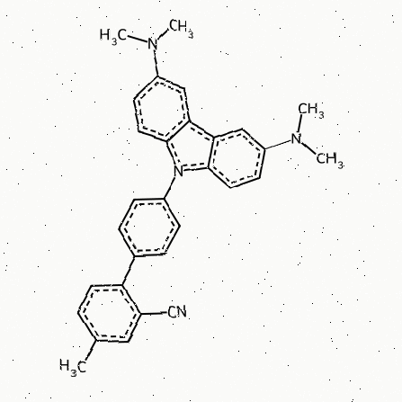 Cc1ccc(-c2ccc(-n3c4ccc(N(C)C)cc4c4cc(N(C)C)ccc43)cc2)c(C#N)c1